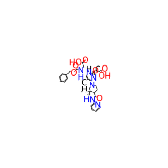 CC(=O)O.Cc1cn(C[C@H](NC(=O)OCc2ccccc2)C(=O)O)c(=O)nc1N1CCC(C(=O)Nc2ccccn2)CC1